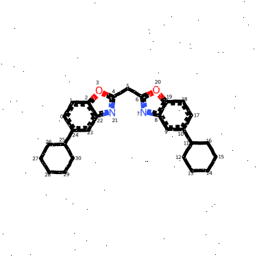 c1cc2oc(Cc3nc4cc(C5CCCCC5)ccc4o3)nc2cc1C1CCCCC1